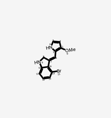 COc1cc[nH]c1C=C1CNc2cccc(Br)c21